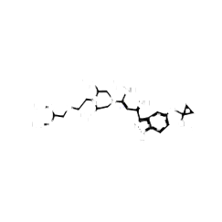 CN/C(=C\C(=N)c1n[nH]c2ccc(OC3(C)CC3)cc12)N1CC(C)N(CCOCC(OC)OC)C(C)C1